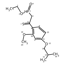 CCO[PH](=O)CC(=S)c1ccc(OCC(C)C)cc1OC